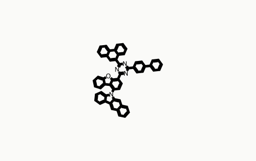 c1ccc(-c2ccc(-c3nc(-c4cc5ccccc5c5ccccc45)nc(-c4ccc(-n5c6ccccc6c6cc7ccccc7cc65)c5c4oc4ccccc45)n3)cc2)cc1